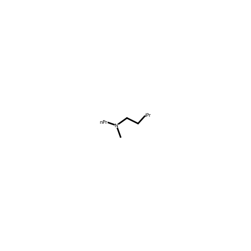 [CH2]CCN(C)CCC(C)C